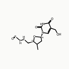 CC1C[C@H](n2cc(CO)c(=O)[nH]c2=O)O[C@@H]1CPPP=O